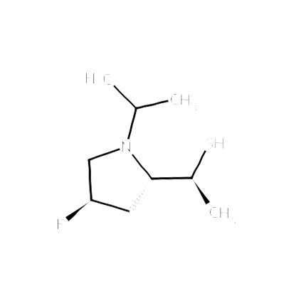 CC(C)N1C[C@H](F)C[C@H]1[C@H](C)S